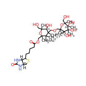 CC(=O)NC1(C)C(C)(COC[C@]2(C)OC(C)(CO)[C@](C)(O)C(C)(O)C2(C)O)[C@H](O)C(C)(CO)O[C@@]1(C)COC(=O)CCCCC1SC[C@@H]2NC(=O)N[C@H]12